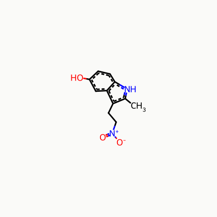 Cc1[nH]c2ccc(O)cc2c1CC[N+](=O)[O-]